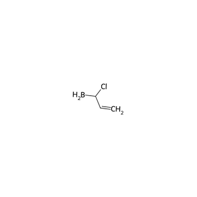 BC(Cl)C=C